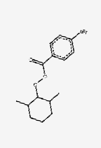 CCCc1ccc(C(=O)OO[C]2C(C)CCCC2C)cc1